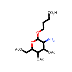 CC(=O)OCC1OC(OCCCC(=O)O)C(N)C(OC(C)=O)C1OC(C)=O